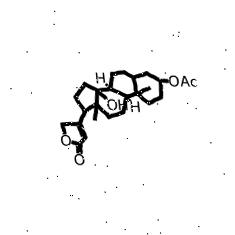 CC(=O)OC1CCC2(C)C(CC[C@@H]3[C@@H]2CCC2(C)C(C4=CC(=O)OC4)CCC32O)C1